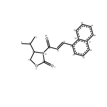 CC(C)C1COC(=O)N1C(=O)/C=C/c1cccc2ccccc12